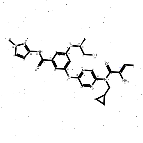 C/C=C(\N)C(=O)N(CC1CC1)c1cnc(Oc2cc(O[C@@H](C)CO)cc(C(=O)Nc3ccn(C)n3)c2)cn1